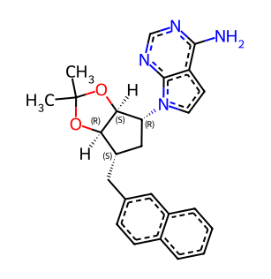 CC1(C)O[C@@H]2[C@@H](Cc3ccc4ccccc4c3)C[C@@H](n3ccc4c(N)ncnc43)[C@@H]2O1